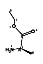 CCOC(=O)[C@@H](C)N